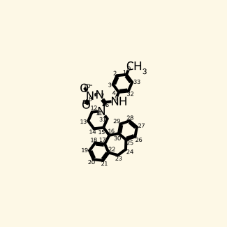 Cc1ccc(NC(=N[N+](=O)[O-])N2CCCC(C3c4ccccc4CCc4ccccc43)C2)cc1